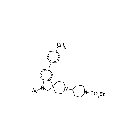 CCOC(=O)N1CCC(N2CCC3(CC2)CN(C(C)=O)c2ccc(-c4ccc(C)cc4)cc23)CC1